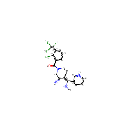 CN/C(=C1/CCN(C(=O)c2cccc(C(F)(F)F)c2Cl)CC1=N)c1cccnc1